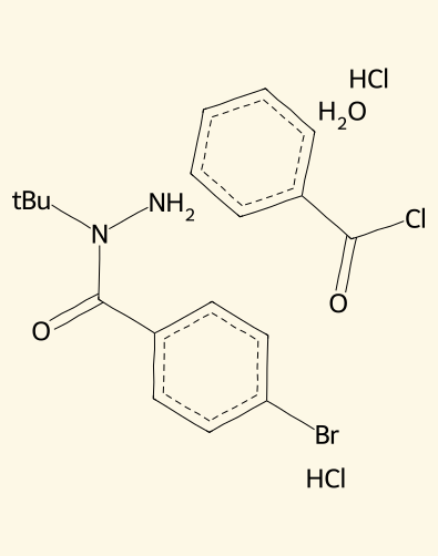 CC(C)(C)N(N)C(=O)c1ccc(Br)cc1.Cl.Cl.O.O=C(Cl)c1ccccc1